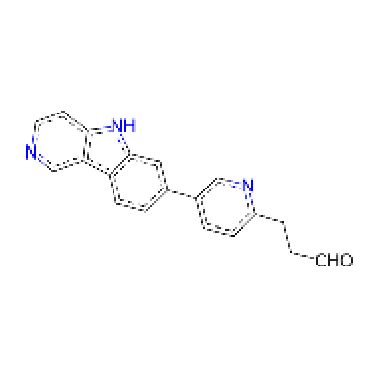 O=CCCc1ccc(-c2ccc3c(c2)[nH]c2ccncc23)cn1